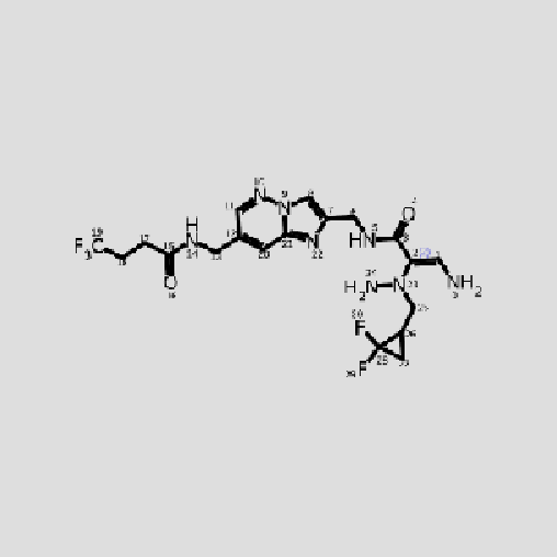 N/C=C(/C(=O)NCc1cn2ncc(CNC(=O)CCC(F)(F)F)cc2n1)N(N)CC1CC1(F)F